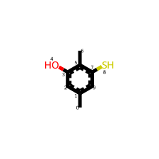 Cc1cc(O)c(C)c(S)c1